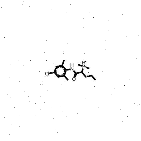 CCCC(C(=O)Nc1c(C)cc(Cl)cc1C)[PH](C)(C)C